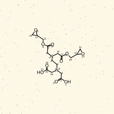 O=C(O)CN(CCN(CC(=O)OCC1CO1)CC(=O)OCC1CO1)CC(=O)O